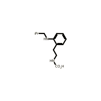 CC(C)CNc1ccccc1CCNC(=O)O